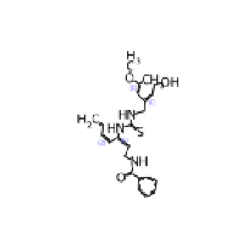 C=C/C=C\C(=C/CNC(=O)c1ccccc1)NC(=S)NCC(=C/CO)/C=C(\C)OC